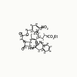 CCOC(=O)CC[S+]([O-])C=C(C)C1C(NC(=O)Cc2ccccc2[N+](=O)[O-])C(=O)N1CC(=O)OCc1ccc([N+](=O)[O-])cc1